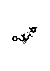 Cc1ccc(NC(=O)CCc2noc(CCC3CCCCC3)c2C2CC2)c(C)c1